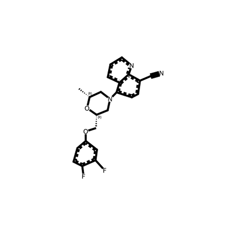 C[C@@H]1CN(c2ccc(C#N)c3ncccc23)C[C@H](COc2ccc(F)c(F)c2)O1